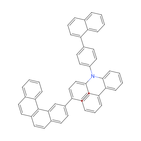 c1ccc(-c2ccccc2N(c2ccc(-c3ccc4ccc5ccc6ccccc6c5c4c3)cc2)c2ccc(-c3cccc4ccccc34)cc2)cc1